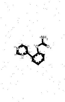 NC(=O)Oc1ccccc1-c1ccncn1